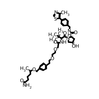 Cc1ncsc1-c1ccc(CNC(=O)[C@@H]2C[C@@H](O)CN2C(=O)[C@@H](NC(=O)COCCOCCc2ccc(CO[C@H](C)CCCC(N)=O)cc2)C(C)(C)C)cc1